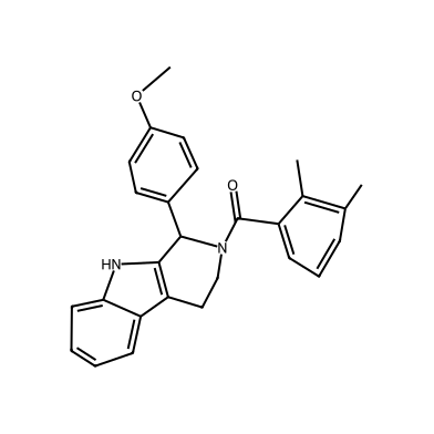 COc1ccc(C2c3[nH]c4ccccc4c3CCN2C(=O)c2cccc(C)c2C)cc1